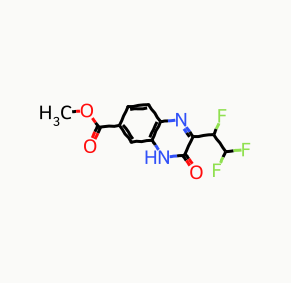 COC(=O)c1ccc2nc(C(F)C(F)F)c(=O)[nH]c2c1